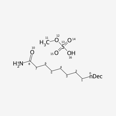 CCCCCCCCCCCCCCCCCC(N)=O.COS(=O)(=O)O